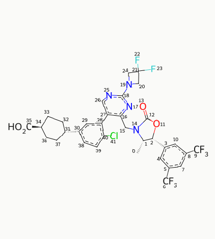 C[C@H]1[C@@H](c2cc(C(F)(F)F)cc(C(F)(F)F)c2)OC(=O)N1Cc1nc(N2CC(F)(F)C2)ncc1-c1cc([C@H]2CC[C@H](C(=O)O)CC2)ccc1Cl